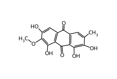 COc1c(O)cc2c(c1O)C(=O)c1c(cc(C)c(O)c1O)C2=O